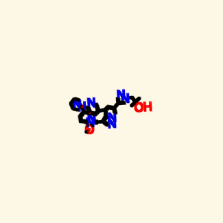 COc1ccc(CN2C3CC2CN(c2ccc(-c4cc(-c5cnn(CC(C)(C)O)c5)cn5ncc(C#N)c45)cn2)C3)cn1